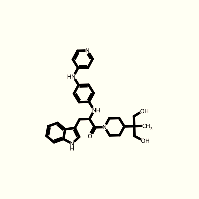 CC(CO)(CO)C1CCN(C(=O)C(Cc2c[nH]c3ccccc23)Nc2ccc(Nc3ccncc3)cc2)CC1